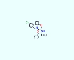 O=C(O)[C@H](CC1CCCCC1)N[C@H]1COc2ccccc2N(Cc2ccc(Cl)cc2)C1=O